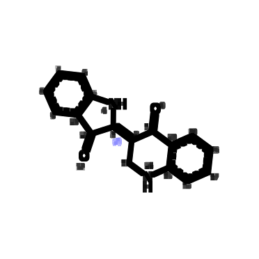 O=C1/C(=C2\Nc3ccccc3C2=O)CNc2ccccc21